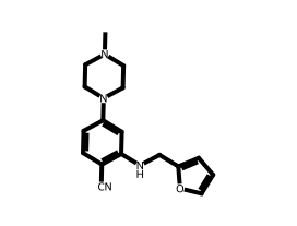 CN1CCN(c2ccc(C#N)c(NCc3ccco3)c2)CC1